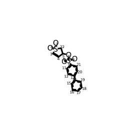 O=S1(=O)C=CC(OS(=O)(=O)c2ccc(-c3ccccc3)cc2)C1